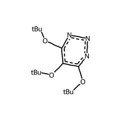 CC(C)(C)Oc1nnnc(OC(C)(C)C)c1OC(C)(C)C